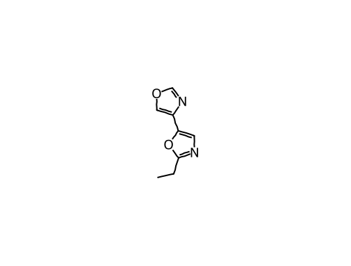 CCc1ncc(-c2cocn2)o1